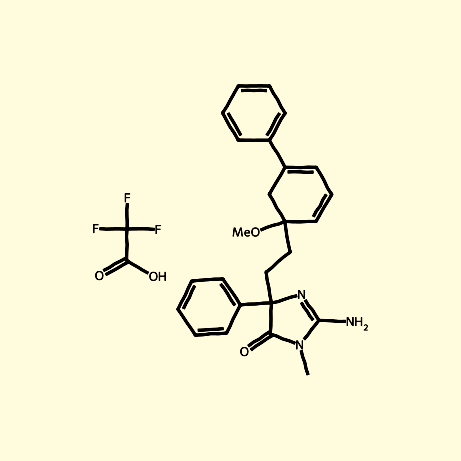 COC1(CCC2(c3ccccc3)N=C(N)N(C)C2=O)C=CC=C(c2ccccc2)C1.O=C(O)C(F)(F)F